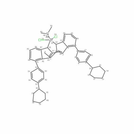 CCC1=Cc2c(-c3ccc(C4CCCCC4)cc3)cccc2[CH]1[Zr]([Cl])([Cl])([CH]1C(C)=Cc2c(-c3ccc(C4CCCCC4)cc3)cccc21)[SiH](C)C